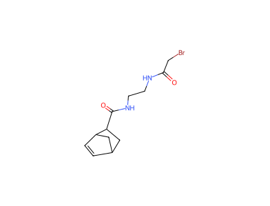 O=C(CBr)NCCNC(=O)C1CC2C=CC1C2